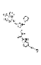 CC(C)(C)OC(=O)NC[C@@H]1C[C@@H](/C=C/NC(=O)c2cc3ccc(C#CC4CC4)cc3[nH]2)N(Cc2ccccc2)C1